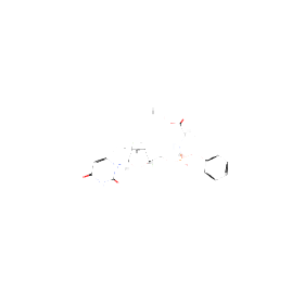 CC(C)OC(=O)[C@H](C)N[P@@](=O)(OC[C@@]1(F)O[C@@H](n2ccc(=O)[nH]c2=O)[C@](C)(F)[C@@H]1O)Oc1ccccc1